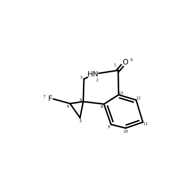 O=C1NCC2(CC2F)c2ccccc21